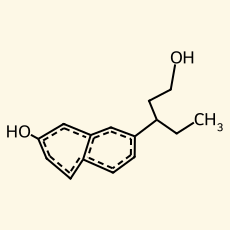 CCC(CCO)c1ccc2ccc(O)cc2c1